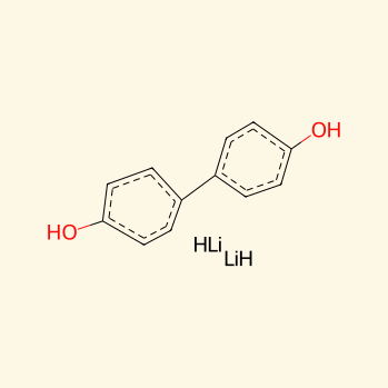 Oc1ccc(-c2ccc(O)cc2)cc1.[LiH].[LiH]